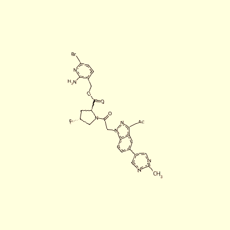 CC(=O)c1nn(CC(=O)N2C[C@H](F)C[C@H]2C(=O)OCc2ccc(Br)nc2N)c2ccc(-c3cnc(C)nc3)cc12